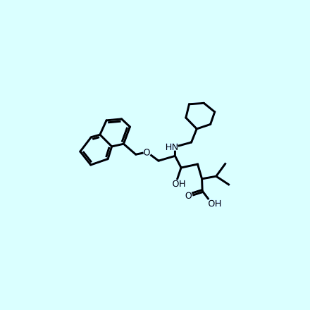 CC(C)C(CC(O)C(COCc1cccc2ccccc12)NCC1CCCCC1)C(=O)O